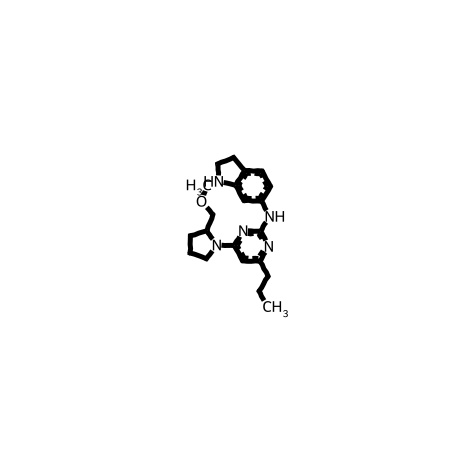 CCCc1cc(N2CCCC2COC)nc(Nc2ccc3c(c2)NCC3)n1